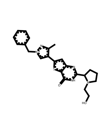 Cc1nn(Cc2ccccc2)cc1-c1cc2nc(C3CCCN3CCO)[nH]c(=O)c2s1